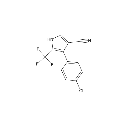 N#Cc1c[nH]c(C(F)(F)F)c1-c1ccc(Cl)cc1